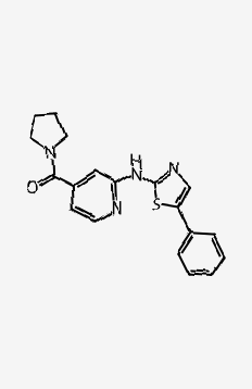 O=C(c1ccnc(Nc2ncc(-c3ccccc3)s2)c1)N1CCCC1